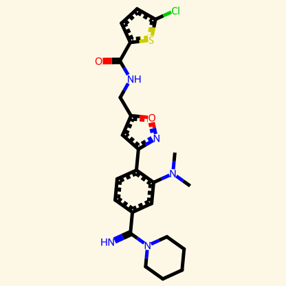 CN(C)c1cc(C(=N)N2CCCCC2)ccc1-c1cc(CNC(=O)c2ccc(Cl)s2)on1